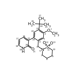 COc1cc(CN2CCCCS2(=O)=O)c(-c2ccc[nH]c2=O)cc1C(C)(C)C